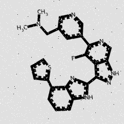 CN(C)Cc1cncc(-c2ncc3[nH]nc(-c4nc5c(-c6cccs6)cccc5[nH]4)c3c2F)c1